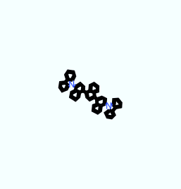 c1ccc2c(-c3ccc(-n4c5ccccc5c5ccccc54)c4ccccc34)ccc(-c3ccc(-n4c5ccccc5c5ccccc54)c4ccccc34)c2c1